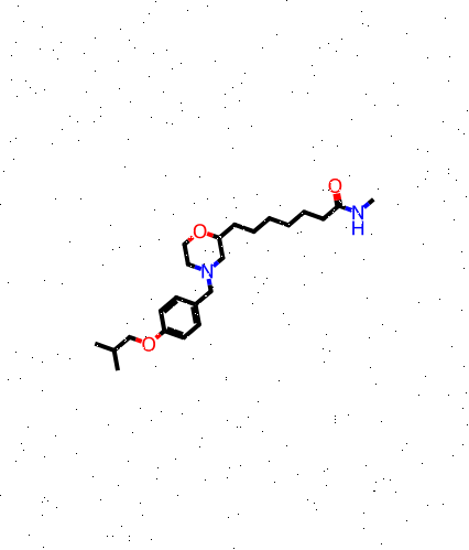 CNC(=O)CCCCCCC1CN(Cc2ccc(OCC(C)C)cc2)CCO1